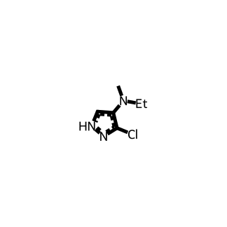 CCN(C)c1c[nH]nc1Cl